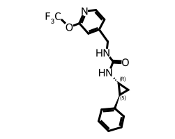 O=C(NCc1ccnc(OC(F)(F)F)c1)N[C@@H]1C[C@H]1c1ccccc1